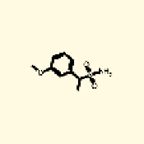 COc1cccc(C(C)S(N)(=O)=O)c1